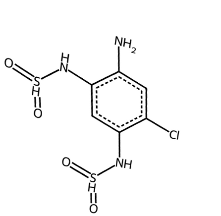 Nc1cc(Cl)c(N[SH](=O)=O)cc1N[SH](=O)=O